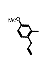 C=CCc1ccc(OC)cc1C